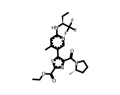 CCOC(=O)c1nc(C(=O)N2CCC[C@@H]2C)c(-c2cnc(N[C@@H](CC)C(F)(F)F)cc2C)s1